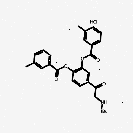 Cc1cccc(C(=O)Oc2ccc(C(=O)CNC(C)(C)C)cc2OC(=O)c2cccc(C)c2)c1.Cl